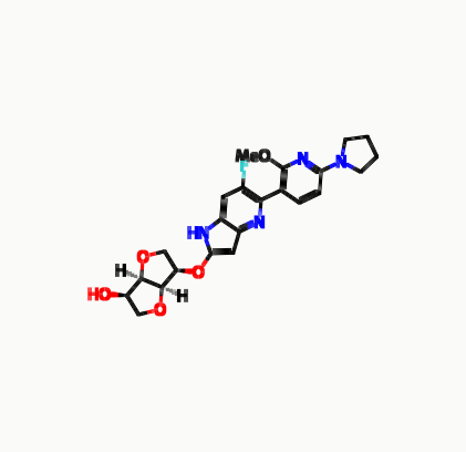 COc1nc(N2CCCC2)ccc1-c1nc2cc(O[C@@H]3CO[C@H]4[C@@H]3OC[C@H]4O)[nH]c2cc1F